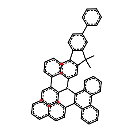 CC1(C)c2cc(-c3ccccc3)ccc2-c2ccc(N(c3ccccc3-c3ccccc3)c3c(-c4ccc5ccccc5c4)c4ccccc4c4ccccc34)cc21